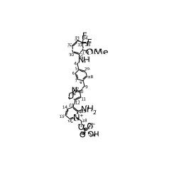 COC1C(NCc2ccc(Cc3cc(-c4ccc[n+](COP(=O)([O-])O)c4N)on3)cc2)=CC=CC1(F)F